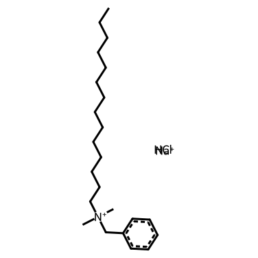 CCCCCCCCCCCCCC[N+](C)(C)Cc1ccccc1.Cl.[Na+]